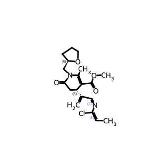 C=C(/C=N\C(Cl)=C/C)[C@@H]1CC(=O)N(C[C@H]2CCCO2)C(C)=C1C(=O)OC